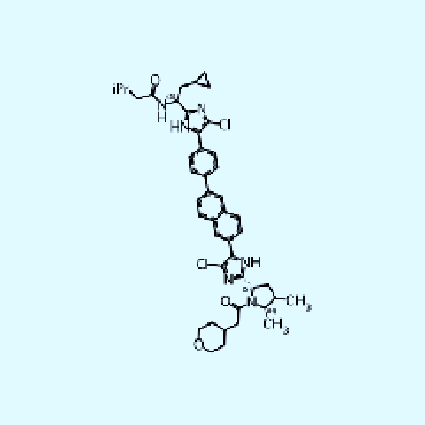 CC(C)CC(=O)N[C@@H](CC1CC1)c1nc(Cl)c(-c2ccc(-c3ccc4cc(-c5[nH]c([C@@H]6CC(C)[C@@H](C)N6C(=O)CC6CCOCC6)nc5Cl)ccc4c3)cc2)[nH]1